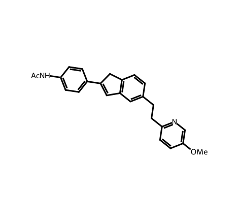 COc1ccc(CCc2ccc3c(c2)C=C(c2ccc(NC(C)=O)cc2)C3)nc1